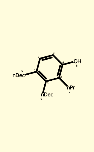 CCCCCCCCCCc1ccc(O)c(CCC)c1CCCCCCCCCC